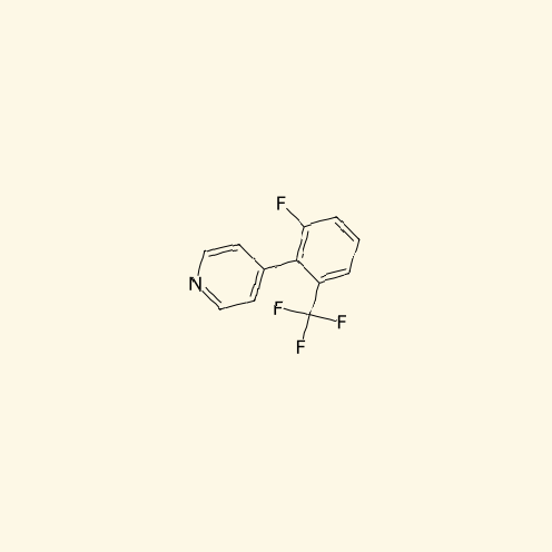 Fc1cccc(C(F)(F)F)c1-c1ccncc1